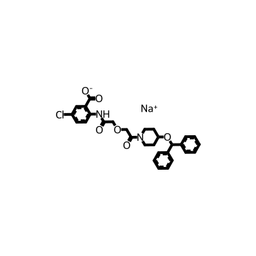 O=C(COCC(=O)N1CCC(OC(c2ccccc2)c2ccccc2)CC1)Nc1ccc(Cl)cc1C(=O)[O-].[Na+]